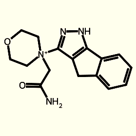 NC(=O)C[N+]1(c2n[nH]c3c2Cc2ccccc2-3)CCOCC1